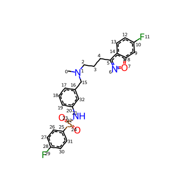 CN(CCCc1noc2cc(F)ccc12)Cc1cccc(NS(=O)(=O)c2ccc(F)cc2)c1